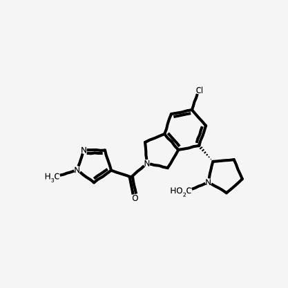 Cn1cc(C(=O)N2Cc3cc(Cl)cc([C@@H]4CCCN4C(=O)O)c3C2)cn1